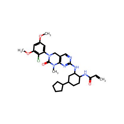 C=CC(=O)NC1CCC(C2CCCC2)CC1Nc1ncc2c(n1)N(C)C(=O)N(c1cc(OC)cc(OC)c1Cl)C2